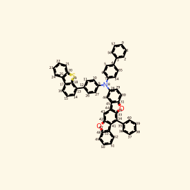 c1ccc(-c2ccc(N(c3ccc(-c4cccc5c4sc4ccccc45)cc3)c3ccc4oc5c(-c6ccccc6)c6c(cc5c4c3)oc3ccccc36)cc2)cc1